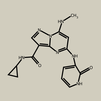 CNc1cc(Nc2ccc[nH]c2=O)nc2c(C(=O)NC3CC3)cnn12